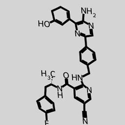 C[C@@H](Cc1ccc(F)cc1)NC(=O)c1cc(C#N)cnc1NCc1ccc(-c2cnc(N)c(C3=CCCC(O)=C3)n2)cc1